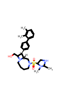 Cc1cccc(-c2ccc([C@@H]3C(CO)N4CCCCN(S(=O)(=O)C5CNC(C)N5C)C[C@@H]34)cc2)c1C